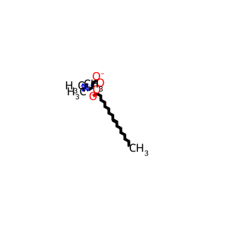 CCCCCCCCC=CCCCCCCCC(=O)OC(CC(=O)[O-])C[N+](C)(C)C